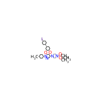 Cc1ccc(-n2ncc(N3CCN(C(=O)OC(C)(C)C)CC3)c(Oc3ccc(-c4ccc(I)cc4)cc3)c2=O)cc1